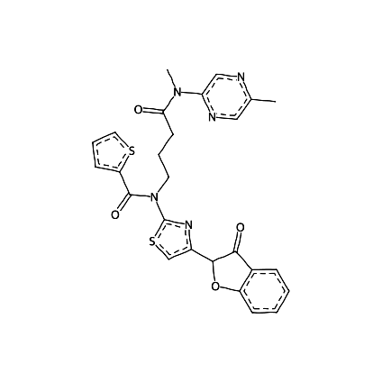 Cc1cnc(N(C)C(=O)CCCN(C(=O)c2cccs2)c2nc(C3Oc4ccccc4C3=O)cs2)cn1